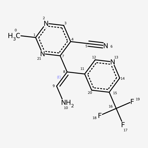 Cc1ncc(C#N)c(/C(=C/N)c2cncc(C(F)(F)F)c2)n1